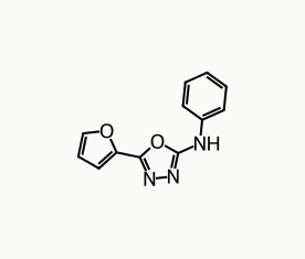 c1ccc(Nc2nnc(-c3ccco3)o2)cc1